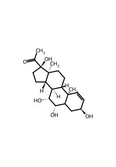 CC(=O)[C@@]1(O)CC[C@H]2[C@@H]3[C@@H](O)[C@@H](O)C4C[C@H](O)C=C[C@]4(C)[C@H]3CC[C@@]21C